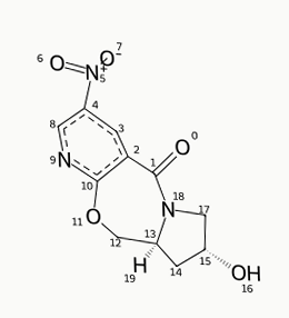 O=C1c2cc([N+](=O)[O-])cnc2OC[C@@H]2C[C@@H](O)CN12